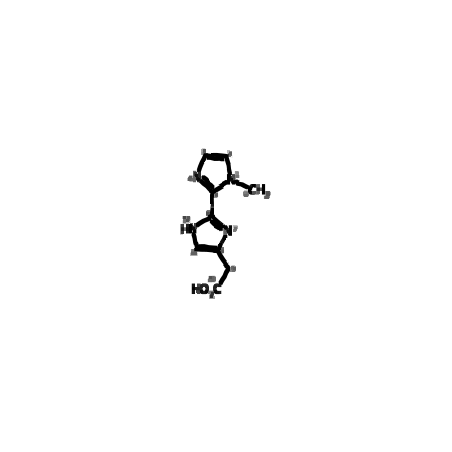 Cn1ccnc1-c1nc(CC(=O)O)c[nH]1